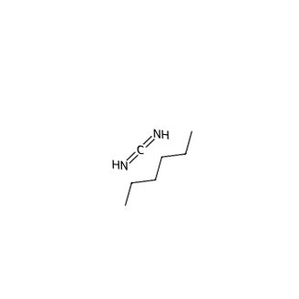 CCCCCC.N=C=N